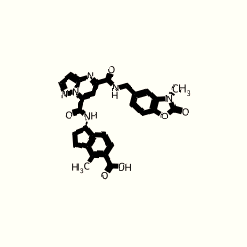 Cc1c(C(=O)O)ccc2c1CC[C@@H]2NC(=O)c1cc(C(=O)NCc2ccc3oc(=O)n(C)c3c2)nc2ccnn12